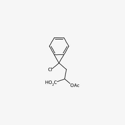 CC(=O)OC(CC1(Cl)c2ccccc21)C(=O)O